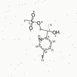 C[C@@](O)(COS(C)(=O)=O)c1ccc(F)cn1